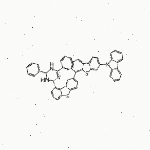 c1ccc(C2=NC(c3cccc4sc5ccc(-c6cccc7c6sc6cc(-n8c9ccccc9c9ccccc98)ccc67)cc5c34)NC(c3ccccc3)N2)cc1